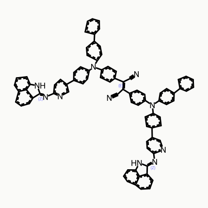 N#C/C(=C(/C#N)c1ccc(N(c2ccc(-c3ccccc3)cc2)c2ccc(-c3ccc(/N=C4\Nc5cccc6cccc4c56)nc3)cc2)cc1)c1ccc(N(c2ccc(-c3ccccc3)cc2)c2ccc(-c3ccc(/N=C4\Nc5cccc6cccc4c56)nc3)cc2)cc1